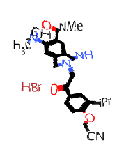 Br.CNC(=O)c1cc2c(cc1N(C)C)CN(CC(=O)c1ccc(OCC#N)c(C(C)C)c1)C2=N